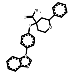 NC(=O)C1(Sc2ccc(-n3cnc4ccccc43)cc2)CCOC(c2ccccc2)C1